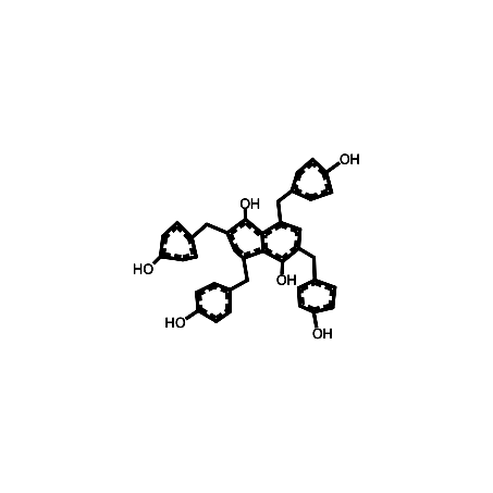 Oc1ccc(Cc2cc(Cc3ccc(O)cc3)c3c(O)c(Cc4ccc(O)cc4)cc(Cc4ccc(O)cc4)c3c2O)cc1